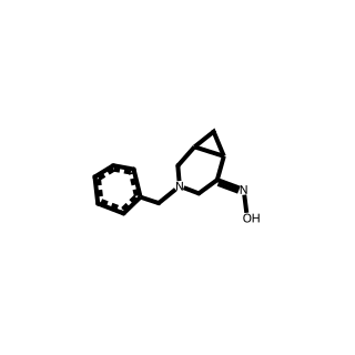 ON=C1CN(Cc2ccccc2)CC2CC12